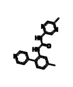 Cc1ccc(-c2ccncc2)c(NC(=O)Nc2cnc(C)cn2)c1